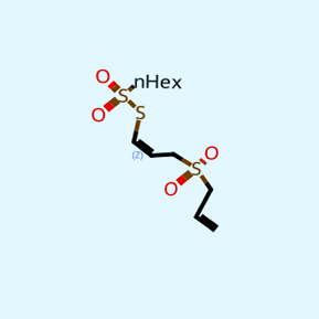 C=CCS(=O)(=O)C/C=C\SS(=O)(=O)CCCCCC